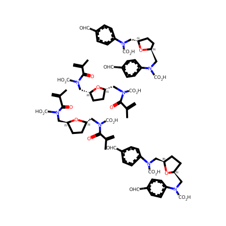 C=C(C)C(=O)N(C[C@@H]1CC[C@@H](CN(C(=O)O)C(=O)C(=C)C)O1)C(=O)O.C=C(C)C(=O)N(C[C@H]1CC[C@@H](CN(C(=O)O)C(=O)C(=C)C)O1)C(=O)O.O=Cc1ccc(N(C[C@@H]2CC[C@@H](CN(C(=O)O)c3ccc(C=O)cc3)O2)C(=O)O)cc1.O=Cc1ccc(N(C[C@H]2CC[C@@H](CN(C(=O)O)c3ccc(C=O)cc3)O2)C(=O)O)cc1